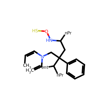 C=CN(/C=C\C)CC(CC(CCC)NOS)(c1ccccc1)C(CCC)CCCCC